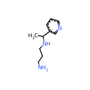 CC(NCCCN)c1cccnc1